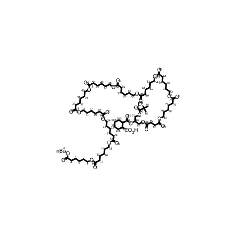 CCCCOC(=O)CCCCCOC(=O)CCCCCOC(=O)CCCCCOC(=O)CCCCCOC(=O)CCCCCOC(=O)CCCCCOC(=O)CCCCCOC(=O)CCCCCOC(=O)CCCCCOC(=O)CCCCCOC(=O)CCC(=O)OCC(COC(=O)C(C)(C)CC)OC(=O)C1CCCCC1C(=O)O